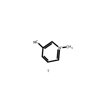 C[n+]1cccc(C#N)c1.[I-]